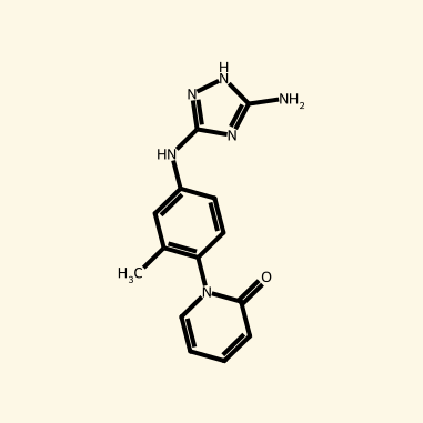 Cc1cc(Nc2n[nH]c(N)n2)ccc1-n1ccccc1=O